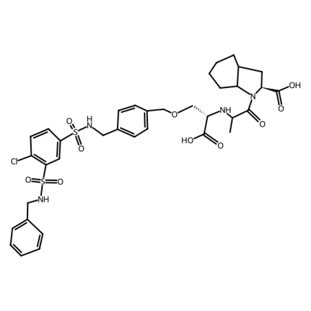 CC(N[C@@H](COCc1ccc(CNS(=O)(=O)c2ccc(Cl)c(S(=O)(=O)NCc3ccccc3)c2)cc1)C(=O)O)C(=O)N1C2CCCCC2C[C@H]1C(=O)O